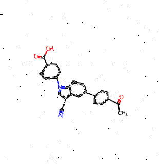 CC(=O)c1ccc(-c2ccc3c(c2)c(C#N)cn3-c2ccc(C(=O)O)cc2)cc1